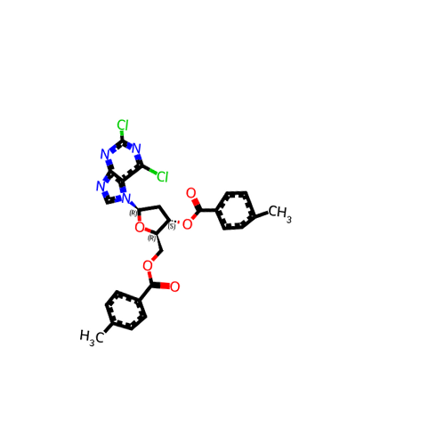 Cc1ccc(C(=O)OC[C@H]2O[C@@H](n3cnc4nc(Cl)nc(Cl)c43)C[C@@H]2OC(=O)c2ccc(C)cc2)cc1